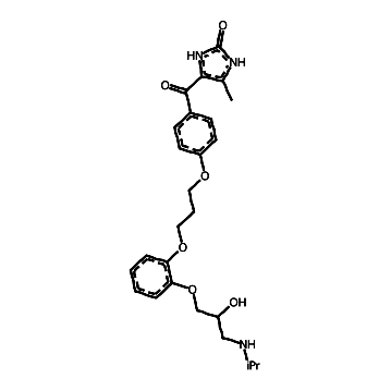 Cc1[nH]c(=O)[nH]c1C(=O)c1ccc(OCCCOc2ccccc2OCC(O)CNC(C)C)cc1